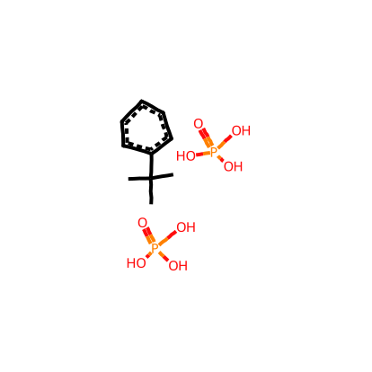 CC(C)(C)c1ccccc1.O=P(O)(O)O.O=P(O)(O)O